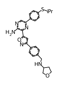 CC(C)Sc1ccc(-c2cnc(N)c(-c3cc(-c4ccc(CNC5CCOC5)cc4)no3)n2)cc1